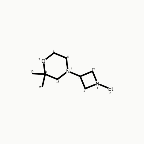 CCN1CC(N2CCOC(C)(C)C2)C1